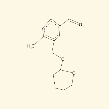 Cc1ccc(C=O)cc1COC1CCCCO1